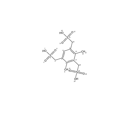 Cc1c(CS(=O)(=O)O)cc(CS(=O)(=O)O)c(C)c1CS(=O)(=O)O